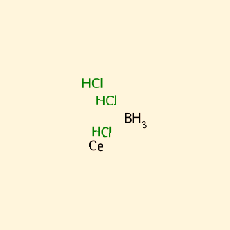 B.Cl.Cl.Cl.[Ce]